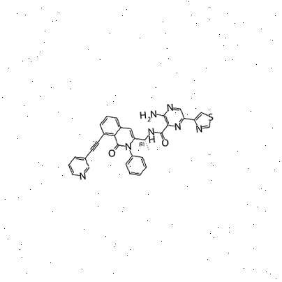 C[C@@H](NC(=O)c1nc(-c2cscn2)cnc1N)c1cc2cccc(C#Cc3cccnc3)c2c(=O)n1-c1ccccc1